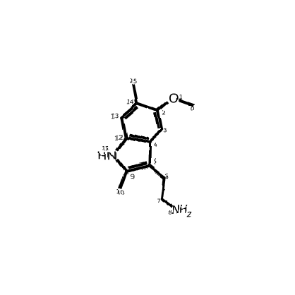 COc1cc2c(CCN)c(C)[nH]c2cc1C